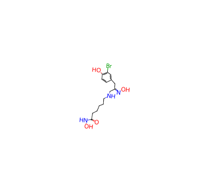 O=C(CCCCCNC/C(Cc1ccc(O)c(Br)c1)=N/O)NO